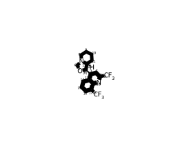 FC(F)(F)c1cc([C@H]2OCN3CCCC[C@@H]23)c2cccc(C(F)(F)F)c2n1